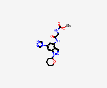 CC(C)(C)OC(=O)NCC(=O)Nc1cc(-n2cnnc2)cc2c1cnn2C1CCCCO1